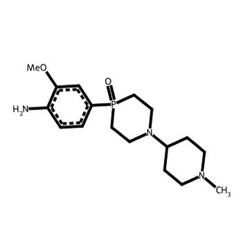 COc1cc(P2(=O)CCN(C3CCN(C)CC3)CC2)ccc1N